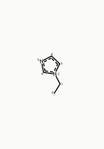 [CH]Cn1ccnc1